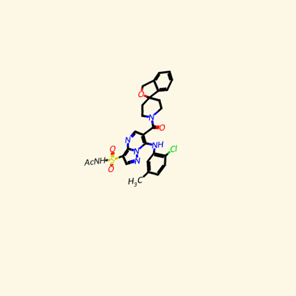 CC(=O)NS(=O)(=O)c1cnn2c(Nc3cc(C)ccc3Cl)c(C(=O)N3CCC4(CC3)OCc3ccccc34)cnc12